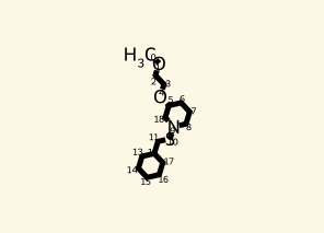 COCCOC1CCCN(SCC2CCCCC2)C1